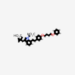 O=C(O)Cn1cc(CC2(CC(=O)O)CC2)c2cccc(/C=C/c3ccc(OCCCCOc4ccccc4)cc3)c21